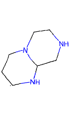 [CH]1CCN2CCNCC2N1